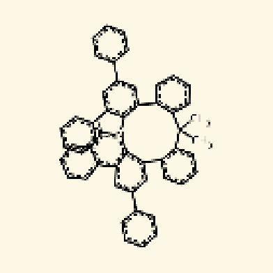 CC1(C)c2ccccc2-c2cc(-c3ccccc3)cc(-c3ccccc3)c2-n2c(=O)c3ccccc3c3cc(-c4ccccc4)cc(c32)-c2ccccc21